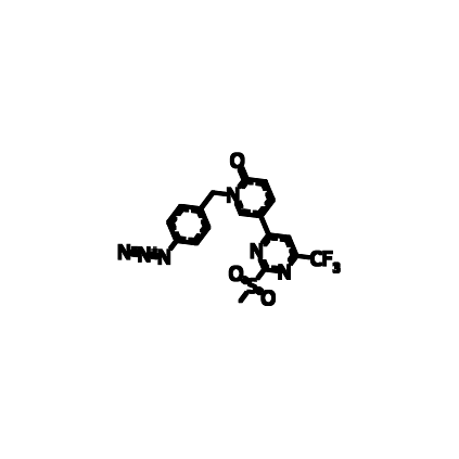 CS(=O)(=O)c1nc(-c2ccc(=O)n(Cc3ccc(N=[N+]=[N-])cc3)c2)cc(C(F)(F)F)n1